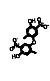 Cc1cc(O)c([N+](=O)[O-])cc1Oc1cc([N+](=O)[O-])c(O)cc1C